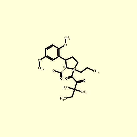 CCC[N+]1(C(=O)C(=O)C(C)(C)CC)CCC(c2cc(OC)ccc2OC)[C@H]1C(=O)[O-]